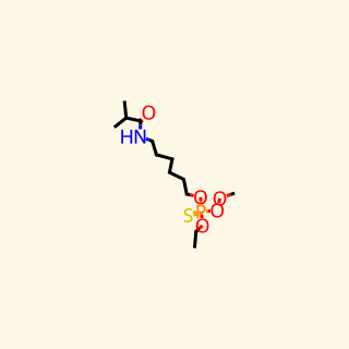 CCOP(=S)(OCCCCCCNC(=O)C(C)C)OOC